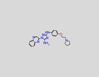 Nc1nc(Nc2ccc(OCCN3CCCC3)cc2)nn1-c1cnc2ccccc2n1